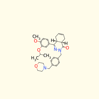 COc1ccc(C2=NN(Cc3ccc(CN4CCOCC4)cc3)C(=O)[C@H]3CC=CC[C@@H]23)cc1OC(C)C